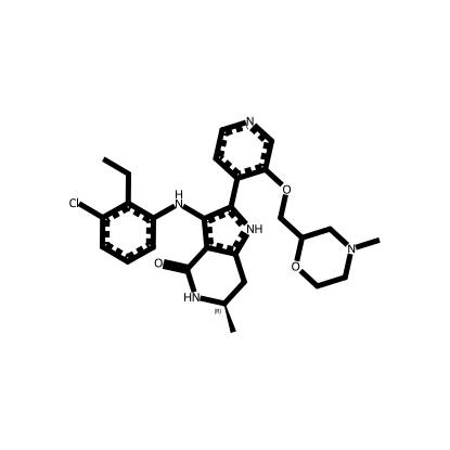 CCc1c(Cl)cccc1Nc1c(-c2ccncc2OCC2CN(C)CCO2)[nH]c2c1C(=O)N[C@H](C)C2